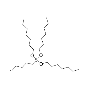 [CH2]CCCC[Si](OCCCCCCC)(OCCCCCCC)OCCCCCCC